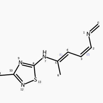 C=N/C=C\C=C(/C)Nc1nc(C)ns1